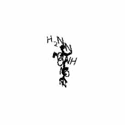 CCOc1cc(N)ncc1NC(=O)c1coc(-c2cnn(C)c2)n1